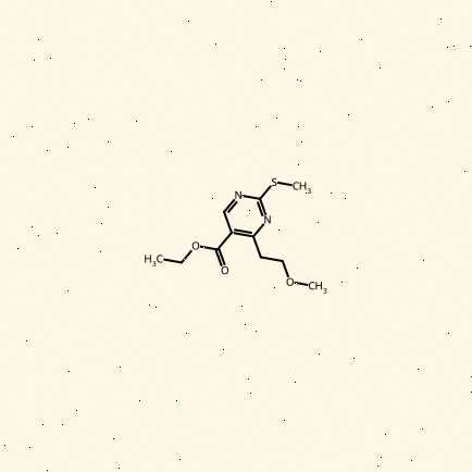 CCOC(=O)c1cnc(SC)nc1CCOC